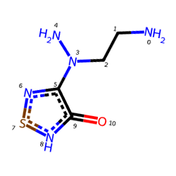 NCCN(N)c1ns[nH]c1=O